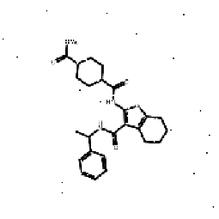 COC(=O)C1CCC(C(=O)Nc2sc3c(c2C(=O)NC(C)c2ccccc2)CCCC3)CC1